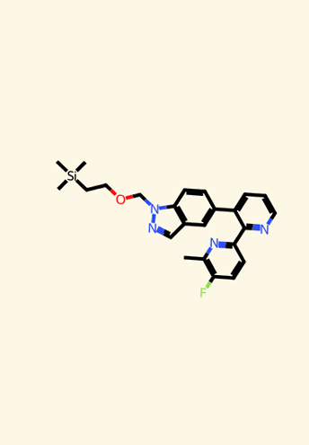 Cc1nc(-c2ncccc2-c2ccc3c(cnn3COCC[Si](C)(C)C)c2)ccc1F